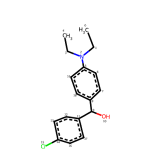 CCN(CC)c1ccc(C(O)c2ccc(Cl)cc2)cc1